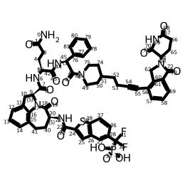 NC(=O)CC[C@H](NC(=O)[C@@H]1Cc2cccc3c2N1C(=O)[C@@H](NC(=O)c1cc2cc(C(F)(F)P(=O)(O)O)ccc2s1)CC3)C(=O)N[C@H](C(=O)N1CCC(CCC#Cc2cccc3c2CN(C2CCC(=O)NC2=O)C3=O)CC1)c1ccccc1